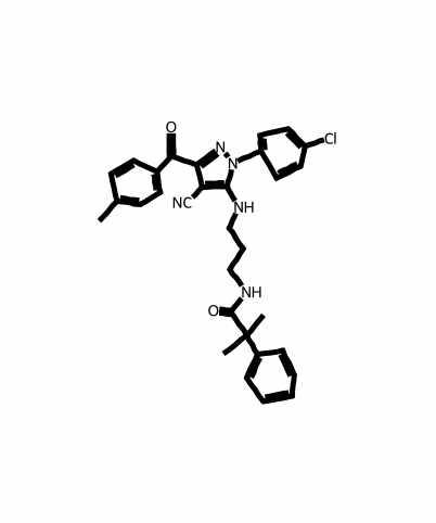 Cc1ccc(C(=O)c2nn(-c3ccc(Cl)cc3)c(NCCCNC(=O)C(C)(C)c3ccccc3)c2C#N)cc1